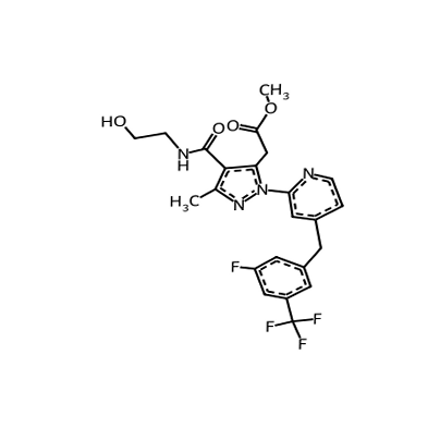 COC(=O)Cc1c(C(=O)NCCO)c(C)nn1-c1cc(Cc2cc(F)cc(C(F)(F)F)c2)ccn1